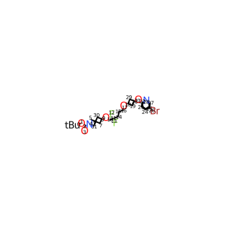 CC(C)(C)OC(=O)N1CC2(CC(OCC(F)(F)CCCO[C@H]3C[C@H](Oc4ccc(Br)cn4)C3)C2)C1